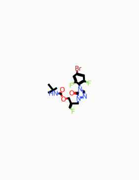 CC(C)(C)NC(=O)OC/C(=C/F)Cn1ncn(-c2c(F)cc(Br)cc2F)c1=O